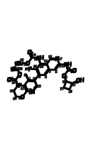 Cc1c(-c2cc3cc(NC(=O)OC4CCC4O)ncc3c(NC(=O)OC(C)(C)C)c2F)cnc2c1N(C(=O)OC(C)(C)C)CCO2